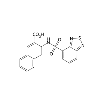 O=C(O)c1cc2ccccc2cc1NS(=O)(=O)c1cccc2nsnc12